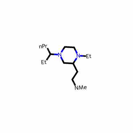 CCCC(CC)N1CCN(CC)C(CCNC)C1